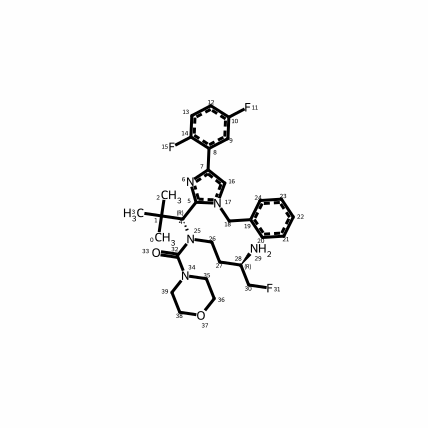 CC(C)(C)[C@H](c1nc(-c2cc(F)ccc2F)cn1Cc1ccccc1)N(CC[C@@H](N)CF)C(=O)N1CCOCC1